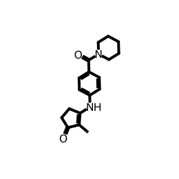 CC1=C(Nc2ccc(C(=O)N3CCCCC3)cc2)CCC1=O